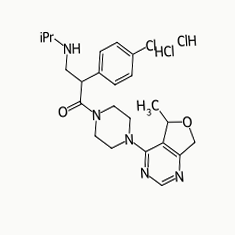 CC(C)NCC(C(=O)N1CCN(c2ncnc3c2C(C)OC3)CC1)c1ccc(Cl)cc1.Cl.Cl